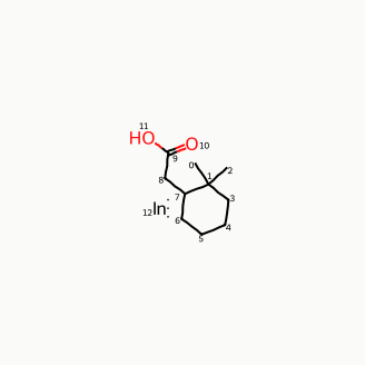 CC1(C)CCCCC1CC(=O)O.[In]